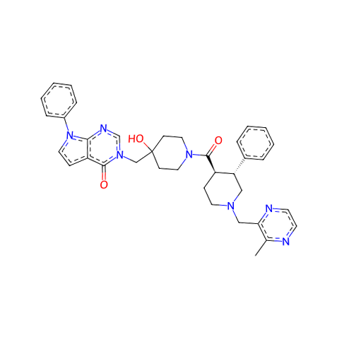 Cc1nccnc1CN1CC[C@@H](C(=O)N2CCC(O)(Cn3cnc4c(ccn4-c4ccccc4)c3=O)CC2)[C@H](c2ccccc2)C1